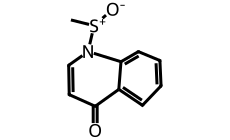 C[S+]([O-])n1ccc(=O)c2ccccc21